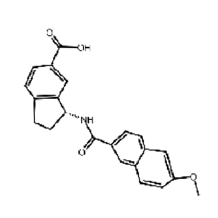 COc1ccc2cc(C(=O)N[C@@H]3CCc4ccc(C(=O)O)cc43)ccc2c1